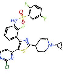 O=S(=O)(Nc1cccc(-c2nc(C3CCN(C4CC4)CC3)sc2-c2ccnc(Cl)n2)c1F)c1cc(F)ccc1F